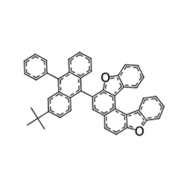 CC(C)(C)c1ccc2c(-c3cc4ccc5oc6ccccc6c5c4c4c3oc3ccccc34)c3ccccc3c(-c3ccccc3)c2c1